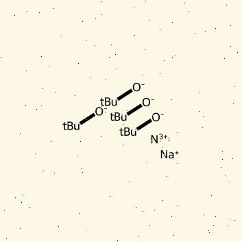 CC(C)(C)[O-].CC(C)(C)[O-].CC(C)(C)[O-].CC(C)(C)[O-].[N+3].[Na+]